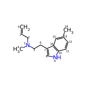 C=CCN(C)CCc1c[nH]c2ccc(C)cc12